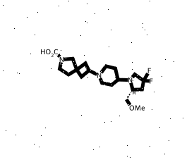 COC[C@H]1CC(F)(F)CN1C1CCN(C2CC3(CCN(C(=O)O)C3)C2)CC1